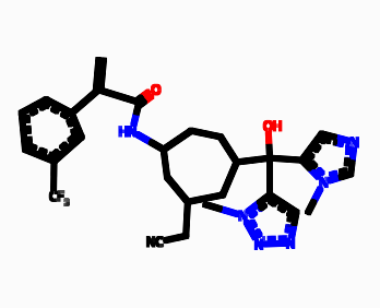 C=C(C(=O)NC1CCC(C(O)(c2cncn2C)c2cnnn2C)CC(CC#N)C1)c1cccc(C(F)(F)F)c1